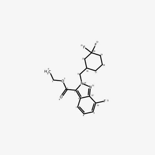 CCOC(=O)c1c2cccc(F)c2nn1CC1CCCC(F)(F)C1